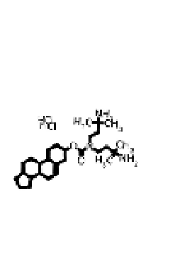 CC(C)(N)CCN(CCC(C)(C)N)C(=O)OC1CCC2C(=CCC3C4CCCC4CCC23)C1.Cl.Cl